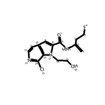 C=C(CCF)NC(=O)c1cc2ccnc(Cl)c2n1CCO